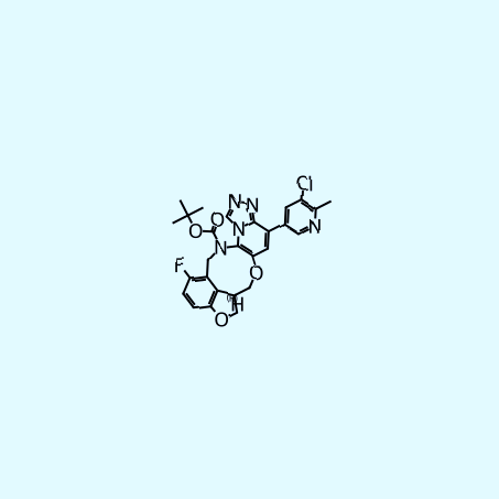 Cc1ncc(-c2cc3c(n4cnnc24)N(C(=O)OC(C)(C)C)Cc2c(F)ccc4c2[C@H](CO4)CO3)cc1Cl